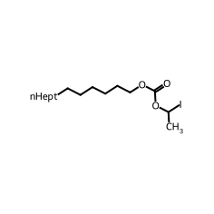 CCCCCCCCCCCCCOC(=O)OC(C)I